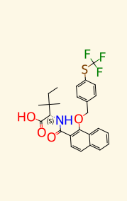 CCC(C)(C)[C@H](NC(=O)c1ccc2ccccc2c1OCc1ccc(SC(F)(F)F)cc1)C(=O)O